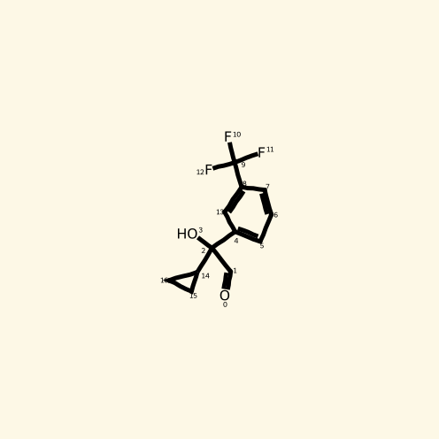 O=CC(O)(c1cccc(C(F)(F)F)c1)C1CC1